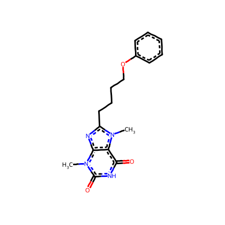 Cn1c(CCCCOc2ccccc2)nc2c1c(=O)[nH]c(=O)n2C